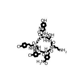 C[C@@H](O)[C@@H]1NC(=O)[C@H](CCCCN)NC(=O)[C@@H](Cc2ccc(C(N)=O)cc2)NC(=O)[C@H](Cc2ccc(Cl)cc2)NC(=O)[C@H](NC(=O)[C@@H](N)Cc2ccc(Cl)cc2)CSSC[C@@H](C(=O)NC(Cc2ccc(O)cc2)C(N)=O)NC1=O